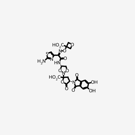 Nc1nc(/C(=N/OC2(C(=O)O)COC2)C(=O)N[C@@H]2CON(C3(C(=O)O)C[C@H](N4C(=O)c5cc(O)c(O)cc5C4=O)C(=O)O3)O2)cs1